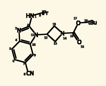 CC(C)Nc1nc2ccc(C#N)cc2n1C1CN(C(=O)OC(C)(C)C)C1